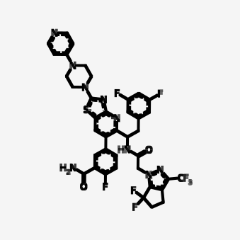 NC(=O)c1cc(-c2cc3sc(N4CCN(c5ccncc5)CC4)nc3nc2C(Cc2cc(F)cc(F)c2)NC(=O)Cn2nc(C(F)(F)F)c3c2C(F)(F)CC3)ccc1F